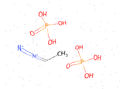 CC=[N+]=[N-].O=P(O)(O)O.O=P(O)(O)O